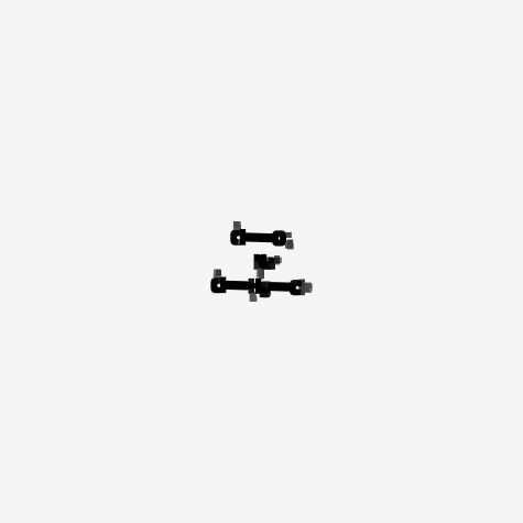 [Cl][Hg][Cl].[Na+].[O-]Cl